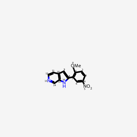 COc1ccc([N+](=O)[O-])cc1-c1cc2ccncc2[nH]1